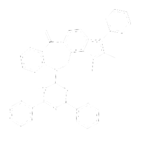 C=C1c2ccccc2N(C2NC(c3ccccc3)=NC(c3ccccc3)N2)Oc2c1ccc1c2c(C)c(C)n1-c1ccccc1